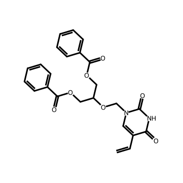 C=Cc1cn(COC(COC(=O)c2ccccc2)COC(=O)c2ccccc2)c(=O)[nH]c1=O